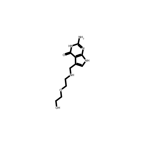 Nc1nc2[nH]cc(CNCCOCCO)c2c(=O)[nH]1